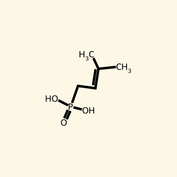 CC(C)=CCP(=O)(O)O